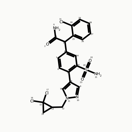 NC(=O)C(c1ccc(-c2cnn(CC3CC3(Cl)Cl)c2)c(S(N)(=O)=O)c1)c1ccccc1Cl